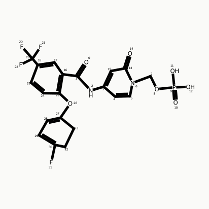 O=C(Nc1ccn(COP(=O)(O)O)c(=O)c1)c1cc(C(F)(F)F)ccc1OC1=CC=C(F)CC1